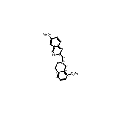 COc1ccc2c(c1)=CNC(CN1CCc3cccc(OC)c3C1)N=2